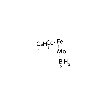 [BiH3].[Co].[CsH].[Fe].[Mo]